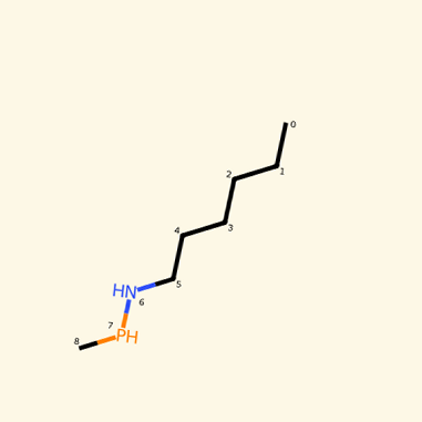 CCCCCCNPC